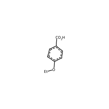 [CH]COc1ccc(C(=O)O)cc1